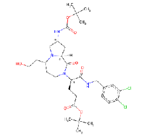 CC(C)(C)OC(=O)CC[C@H](C(=O)NCc1ccc(Cl)c(Cl)c1)N1CCC(CCO)N2C[C@H](NC(=O)OC(C)(C)C)C[C@H]2C1=O